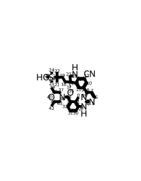 Cc1c(Nc2nccc(-c3cc(C#N)c4c(c3)[C@@](C)(CCC(C)(C)[Si](C)(C)O)CN4)n2)cccc1C(=O)N1CC(C)OC(C)C1